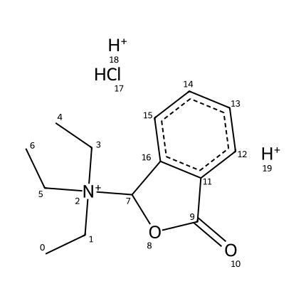 CC[N+](CC)(CC)C1OC(=O)c2ccccc21.Cl.[H+].[H+]